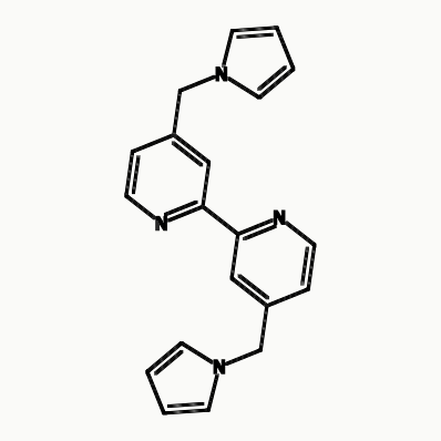 c1ccn(Cc2ccnc(-c3cc(Cn4cccc4)ccn3)c2)c1